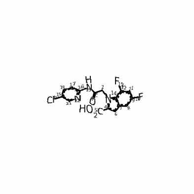 O=C(Cn1c(C(=O)O)cc2cc(F)cc(F)c21)Nc1ccc(Cl)cn1